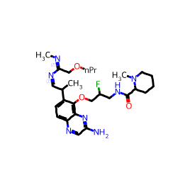 CCCOCC(/N=C\C(C)c1ccc2ncc(N)nc2c1OCC(F)CNC(=O)C1CCCCN1C)=N/C